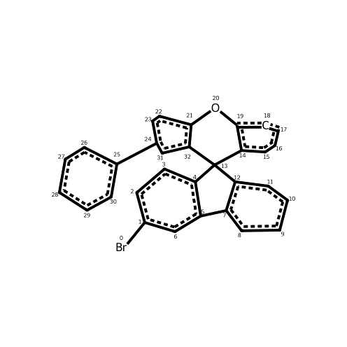 Brc1ccc2c(c1)-c1ccccc1C21c2ccccc2Oc2ccc(-c3ccccc3)cc21